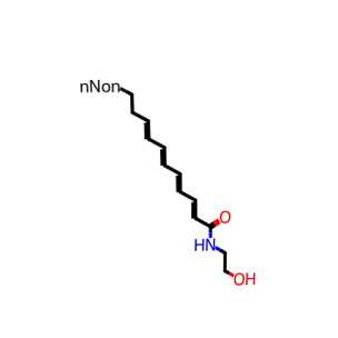 CCCCCCCCCCCC=CC=CC=CC=CC(=O)NCCO